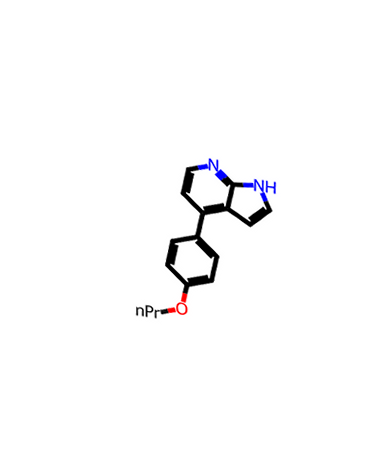 CCCOc1ccc(-c2ccnc3[nH]ccc23)cc1